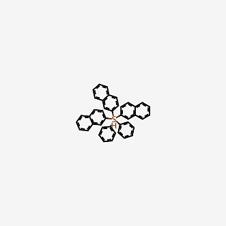 c1ccc([SH](c2ccccc2)(c2ccc3ccccc3c2)(c2ccc3ccccc3c2)c2ccc3ccccc3c2)cc1